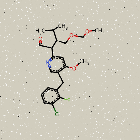 COCOC[C@H](C(C)C)C(C=O)c1cc(OC)c(Cc2cccc(Cl)c2F)cn1